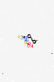 Cc1cccc(C=Cc2cccc(NC[C@@H](N)CS)c2)c1.O=C(O)C(F)(F)F